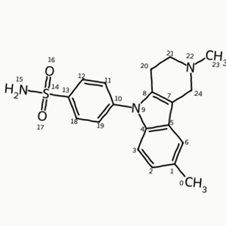 Cc1ccc2c(c1)c1c(n2-c2ccc(S(N)(=O)=O)cc2)CCN(C)C1